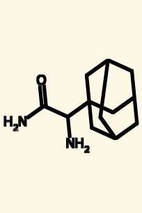 NC(=O)C(N)C12CC3CC(CC(C3)C1)C2